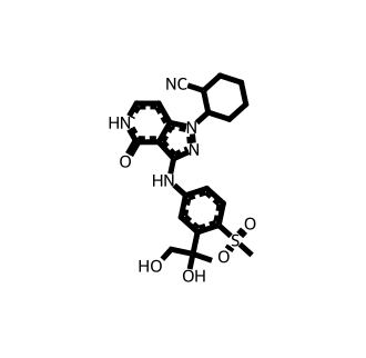 CC(O)(CO)c1cc(Nc2nn(C3CCCCC3C#N)c3cc[nH]c(=O)c23)ccc1S(C)(=O)=O